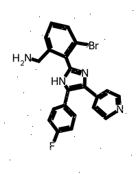 NCc1cccc(Br)c1-c1nc(-c2ccncc2)c(-c2ccc(F)cc2)[nH]1